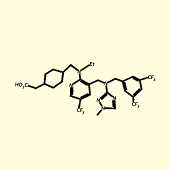 CCN(CC1CCC(CC(=O)O)CC1)c1ncc(C(F)(F)F)cc1CN(Cc1cc(C(F)(F)F)cc(C(F)(F)F)c1)c1ncn(C)n1